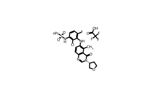 CCCS(=O)(=O)Nc1ccc(F)c(Nc2ccc3ncn([C@@H]4CCOC4)c(=O)c3c2C)c1Cl.O=C(O)C(F)(F)F